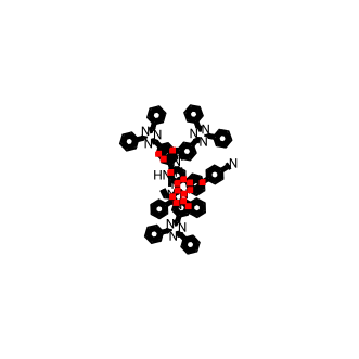 C=CC1c2cc(-c3nc(-c4ccccc4)nc(-c4ccccc4)n3)ccc2N(c2ccc(-c3ccc(C#N)cc3)cc2-c2cc(-n3c4ccc(-c5nc(-c6ccccc6)nc(-c6ccccc6)n5)cc4c4cc(-c5nc(-c6ccccc6)nc(-c6ccccc6)n5)ccc43)ccc2-c2nc(-c3ccccc3)nc(-c3ccccc3)n2)C1N(C)/C(=N\C(=N)c1ccccc1)c1ccccc1